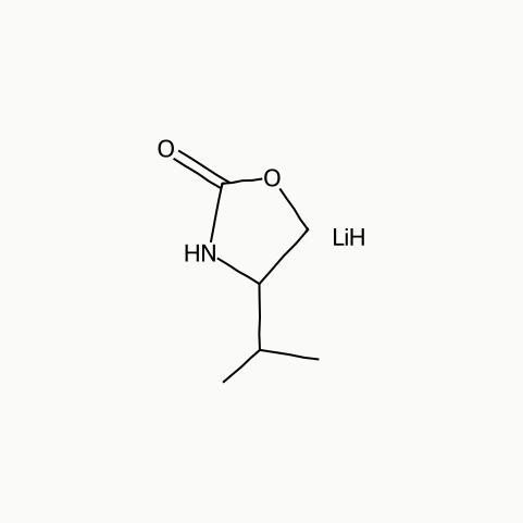 CC(C)C1COC(=O)N1.[LiH]